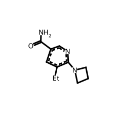 CCc1cc(C(N)=O)cnc1N1CCC1